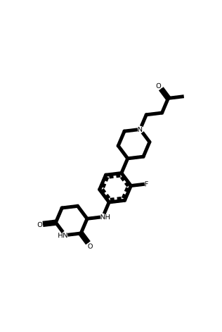 CC(=O)CCN1CCC(c2ccc(NC3CCC(=O)NC3=O)cc2F)CC1